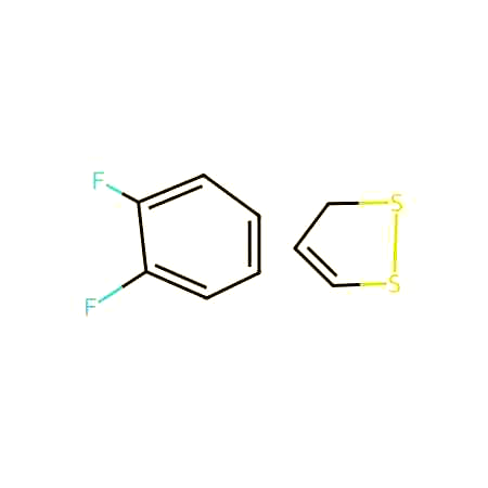 C1=CSSC1.Fc1ccccc1F